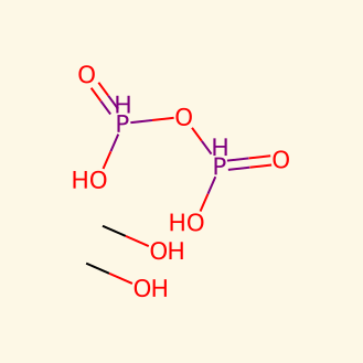 CO.CO.O=[PH](O)O[PH](=O)O